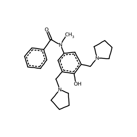 CN(C(=O)c1ccccc1)c1cc(CN2CCCC2)c(O)c(CN2CCCC2)c1